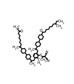 C=C(CC)CCCCCCC(=O)C1CCC(C2CCC(C(=C)Cc3ccc(CC(=C)C4CCC(C5CCC(C(=C)CCCCCCC(=O)CC)CC5)CC4)c(C)c3SC(C)=C(C#N)C#N)CC2)CC1